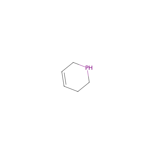 C1=CCPCC1